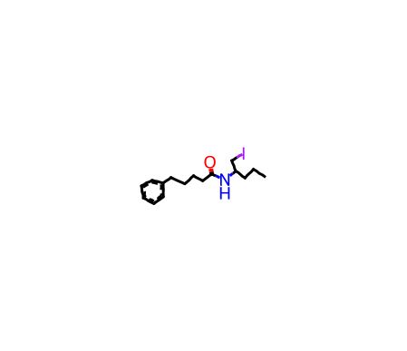 CCCC(CI)NC(=O)CCCCc1ccccc1